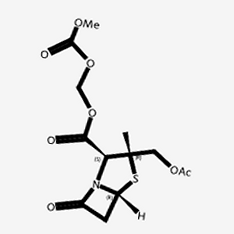 COC(=O)OCOC(=O)[C@@H]1N2C(=O)C[C@H]2S[C@@]1(C)COC(C)=O